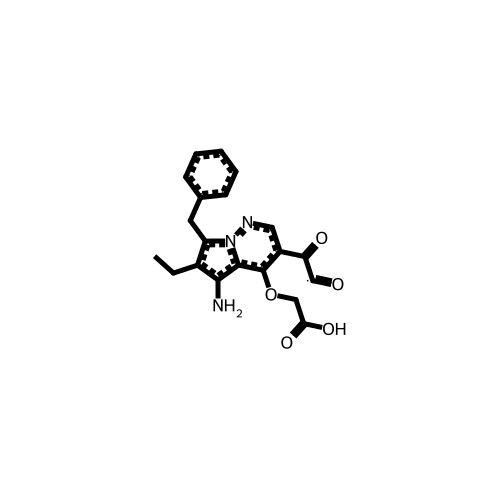 CCc1c(N)c2c(OCC(=O)O)c(C(=O)[C]=O)cnn2c1Cc1ccccc1